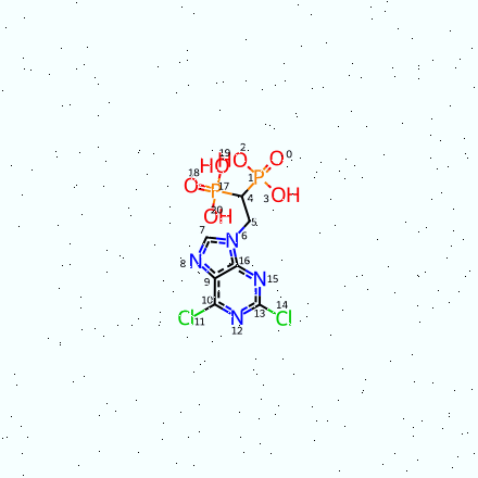 O=P(O)(O)C(Cn1cnc2c(Cl)nc(Cl)nc21)P(=O)(O)O